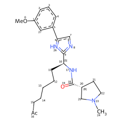 COc1cccc(-c2cnc([C@H](CCCCCC(C)=O)NC(=O)[C@@H]3CCN(C)C3)[nH]2)c1